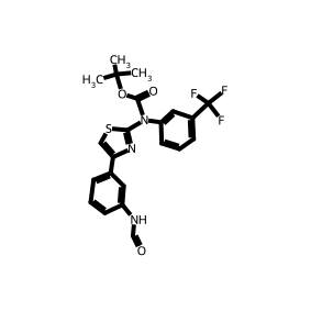 CC(C)(C)OC(=O)N(c1cccc(C(F)(F)F)c1)c1nc(-c2cccc(NC=O)c2)cs1